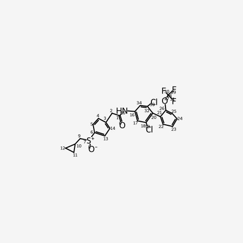 O=C(Cc1ccc([S+]([O-])CC2CC2)cc1)Nc1cc(Cl)c(-c2ccccc2OC(F)(F)F)c(Cl)c1